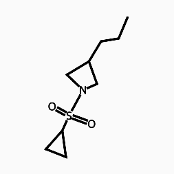 CCCC1CN(S(=O)(=O)C2CC2)C1